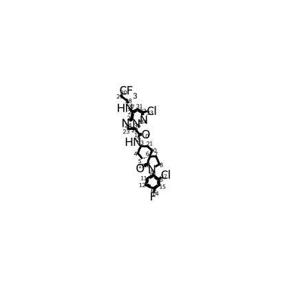 O=C(N[C@H]1CC[C@@]2(CCN(c3ccc(F)cc3Cl)C2=O)CC1)c1cnc2c(NCCC(F)(F)F)cc(Cl)nn12